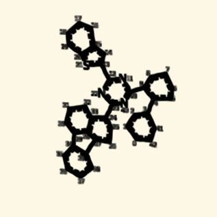 c1ccc(-c2ccccc2-c2nc(-c3cc4ccccc4s3)nc(-c3ccc4c5c(cccc35)-c3ccccc3-4)n2)cc1